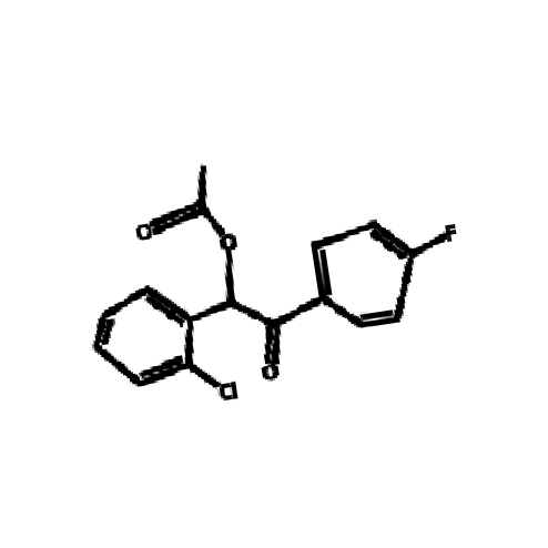 CC(=O)OC(C(=O)c1ccc(F)cc1)c1ccccc1Cl